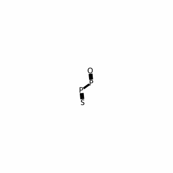 O=PP=S